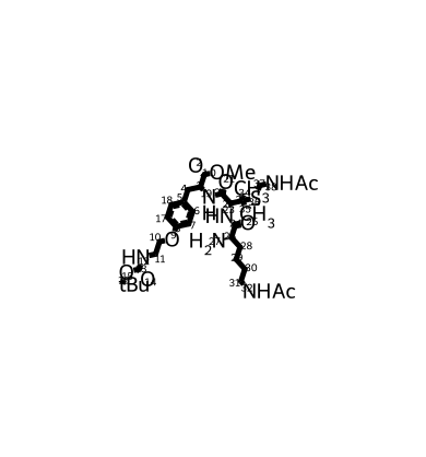 COC(=O)C(Cc1ccc(OCCNC(=O)OC(C)(C)C)cc1)NC(=O)[C@@H](NC(=O)[C@@H](N)CCCCNC(C)=O)C(C)(C)SCNC(C)=O